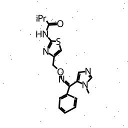 CC(C)C(=O)Nc1nc(CON=C(c2ccccc2)c2cncn2C)cs1